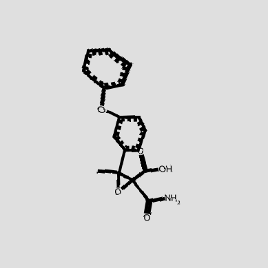 CC1(c2cccc(Oc3ccccc3)c2)OC1(C(N)=O)C(=O)O